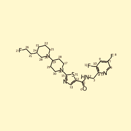 O=C(NCc1ncc(F)cc1F)c1cnc(N2CCC(N3CCCC(CCF)C3)CC2)s1